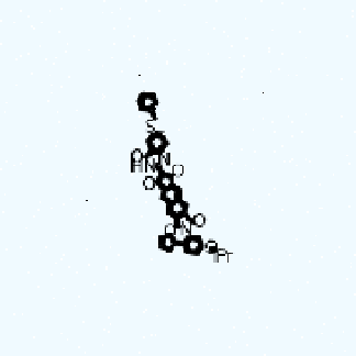 CC(C)Oc1ccc(C2=CC=CC2)c(N2C(=O)c3cc4cc5c(cc4cc3C2=O)C(=O)C(c2nc3ccc(SCc4ccccc4)cc3c(=O)[nH]2)C5=O)c1